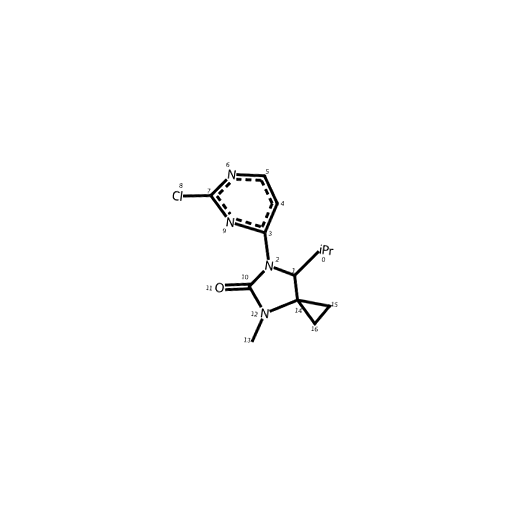 CC(C)C1N(c2ccnc(Cl)n2)C(=O)N(C)C12CC2